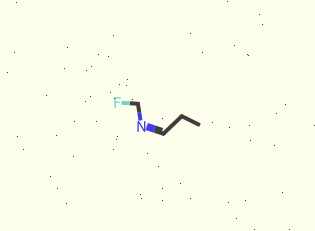 CC/C=N\CF